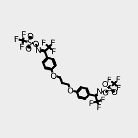 O=S(=O)(ON=C(c1ccc(OCCCOc2ccc(C(=NOS(=O)(=O)C(F)(F)F)C(F)(F)F)cc2)cc1)C(F)(F)F)C(F)(F)F